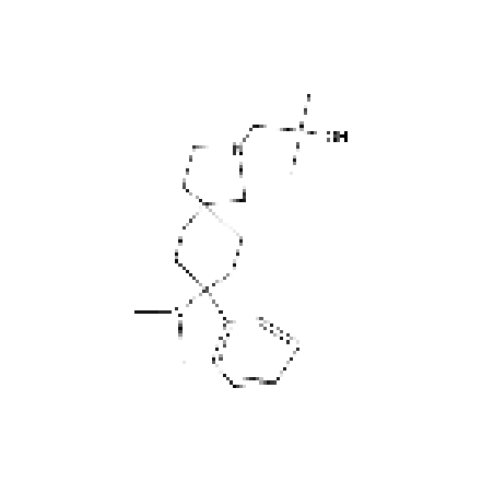 CN(C)C1(c2ccccc2)CCC2(CCN(CC(C)(C)O)C2)CC1